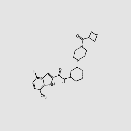 Cc1ccc(F)c2cc(C(=O)N[C@@H]3CCC[C@@H](N4CCN(C(=O)C5COC5)CC4)C3)[nH]c12